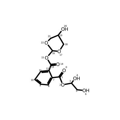 O=C(OC(O)CO)c1ccccc1C(=O)OC1OCC(O)CO1